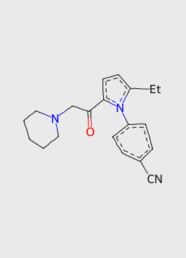 CCc1ccc(C(=O)CN2CCCCC2)n1-c1ccc(C#N)cc1